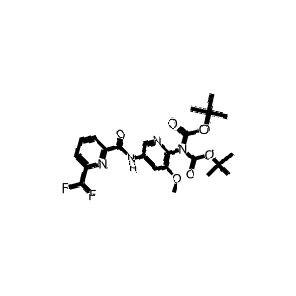 COc1cc(NC(=O)c2cccc(C(F)F)n2)cnc1N(C(=O)OC(C)(C)C)C(=O)OC(C)(C)C